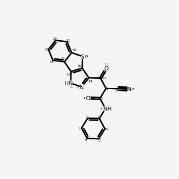 N#CC(C(=O)Nc1ccccc1)C(=O)c1n[nH]c2c1sc1ccccc12